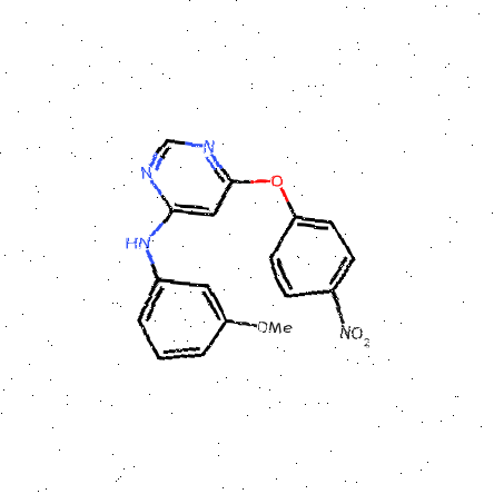 COc1cccc(Nc2cc(Oc3ccc([N+](=O)[O-])cc3)ncn2)c1